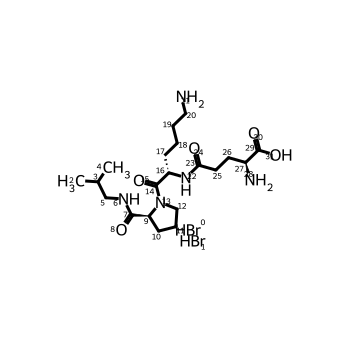 Br.Br.CC(C)CNC(=O)[C@@H]1CCCN1C(=O)[C@H](CCCCN)NC(=O)CC[C@H](N)C(=O)O